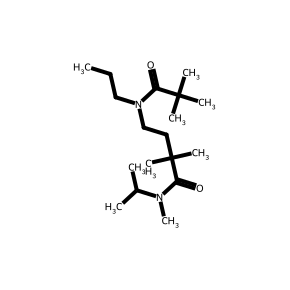 CCCN(CCC(C)(C)C(=O)N(C)C(C)C)C(=O)C(C)(C)C